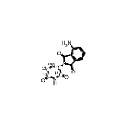 Nc1cccc2c1C(=O)N([13CH]1[13CH2][13CH2][13C](=O)N[13C]1=O)C2=O